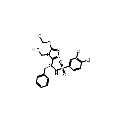 CCOc1nnc([C@@H](Cc2ccccc2)NS(=O)(=O)c2ccc(Cl)c(Cl)c2)n1CC